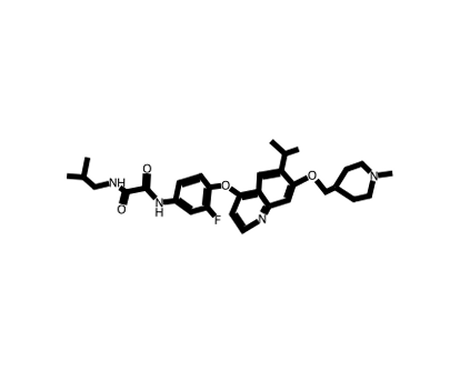 CC(C)CNC(=O)C(=O)Nc1ccc(Oc2ccnc3cc(OCC4CCN(C)CC4)c(C(C)C)cc23)c(F)c1